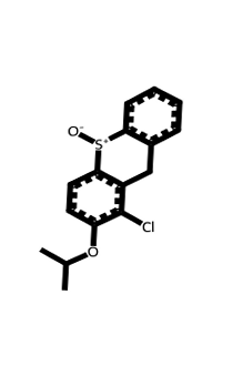 CC(C)Oc1ccc2c(c1Cl)Cc1ccccc1[S+]2[O-]